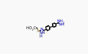 N=C(N)c1ccc(-c2ccc(-c3n[nH]c(SCC(=O)O)n3)cc2)cc1